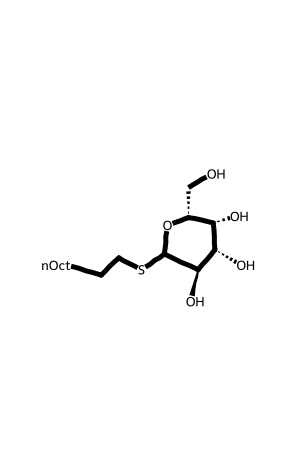 CCCCCCCCCCSC1O[C@H](CO)[C@H](O)[C@H](O)[C@H]1O